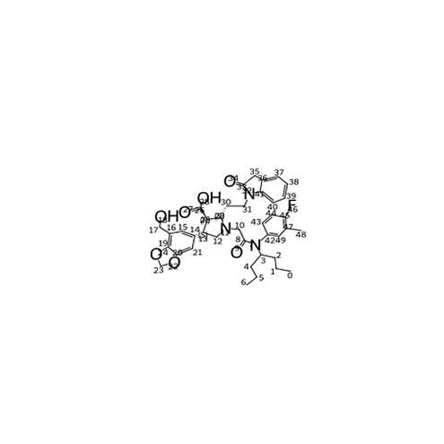 CCCC(CCC)N(C(=O)CN1C[C@H](c2cc(CO)c3c(c2)OCO3)[C@@H](C(=O)O)[C@@H]1CCN1C(=O)Cc2ccccc21)c1ccc(F)c(C)c1